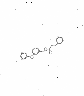 O=C(CCc1ccccc1)OCc1cccc(Oc2ccccc2)c1